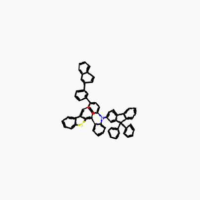 c1ccc(C2(c3ccccc3)c3ccccc3-c3ccc(N(c4ccc(-c5cccc(-c6ccc7ccccc7c6)c5)cc4)c4ccccc4-c4cccc5c4sc4ccccc45)cc32)cc1